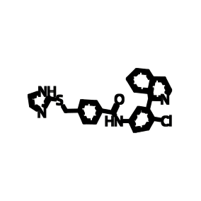 O=C(Nc1ccc(Cl)c(-c2nccc3ccccc23)c1)c1ccc(CSc2ncc[nH]2)cc1